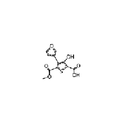 COC(=O)c1sc(C(=O)O)c(O)c1-c1ccoc1